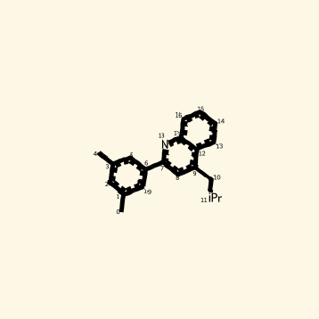 Cc1cc(C)cc(-c2cc(CC(C)C)c3ccccc3n2)c1